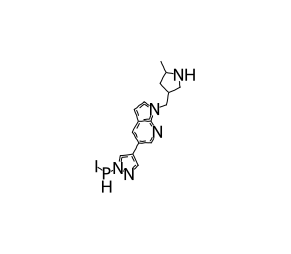 CC1CC(Cn2ccc3cc(-c4cnn(PI)c4)cnc32)CN1